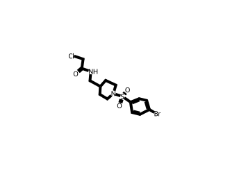 O=C(CCl)NCC1CCN(S(=O)(=O)c2ccc(Br)cc2)CC1